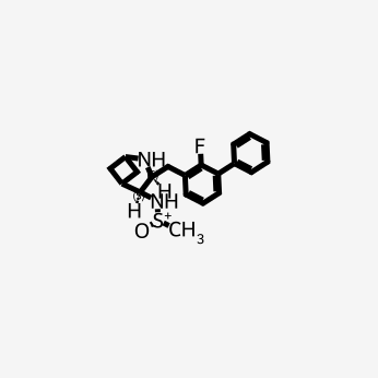 C[S+]([O-])N[C@H]1C2CC(C2)N[C@H]1Cc1cccc(-c2ccccc2)c1F